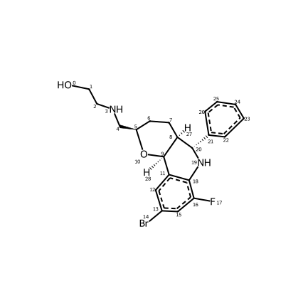 OCCNC[C@H]1CC[C@@H]2[C@H](O1)c1cc(Br)cc(F)c1N[C@H]2c1ccccc1